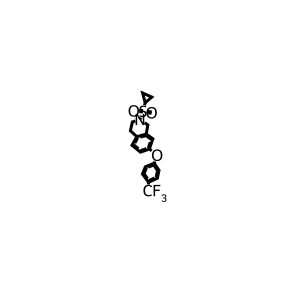 O=S(=O)(C1CC1)N1CCc2ccc(Oc3ccc(C(F)(F)F)cc3)cc2C1